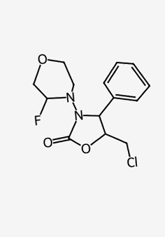 O=C1OC(CCl)C(c2ccccc2)N1N1CCOCC1F